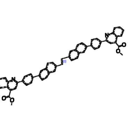 COC(=O)c1cc(-c2ccc(-c3ccc4cc(/C=C/c5ccc6cc(-c7ccc(-c8cc(C(=O)OC)c9ccccc9n8)cc7)ccc6c5)ccc4c3)cc2)nc2ccccc12